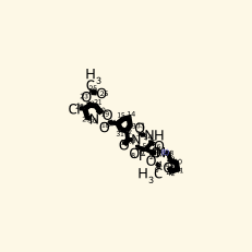 CCOC(=O)C1(F)C(=O)N(C(=O)c2cccc(C(=O)Oc3cc(OC(C)=O)c(Cl)cn3)c2)C(=O)NC1O/N=C/c1ccco1